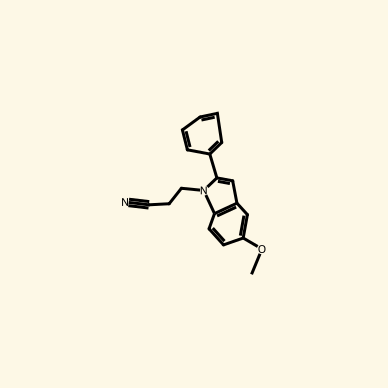 COc1ccc2c(c1)cc(-c1ccccc1)n2CCC#N